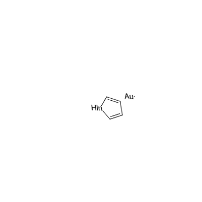 C1=[CH][InH][CH]=C1.[Au]